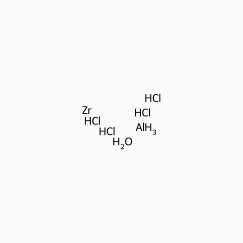 Cl.Cl.Cl.Cl.O.[AlH3].[Zr]